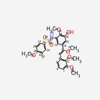 COC(=Cc1cccc(OC)c1OC)c1cc(O)c(OC)c(NS(=O)(=O)c2ccc(OC)c(F)c2)c1